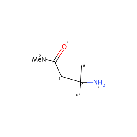 CNC(=O)CC(C)(C)N